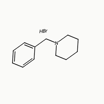 Br.c1ccc(CN2CCCCC2)cc1